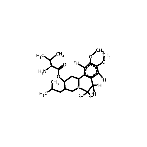 [2H]c1c(OC)c(OC)c([2H])c2c1C1CC(OC(=O)[C@@H](N)C(C)C)C(CC(C)C)CN1C([2H])([2H])C2([2H])[2H]